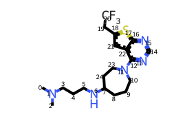 CN(C)CCCNC1CCCN(c2ncnc3sc(CC(F)(F)F)cc23)CC1